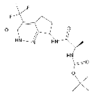 C[C@@H](NC(=O)OC(C)(C)C)C(=O)NC1CCc2c1n[nH]c(=O)c2C(F)(F)F